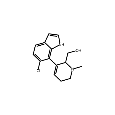 CN1CCC=C(c2c(Cl)ccc3cc[nH]c23)C1CO